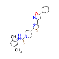 Cc1ccc(C)c(NC(=S)N2CCC(c3nc(C4=NOC(c5ccccc5)C4)cs3)CC2)c1